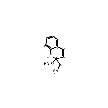 NCC1(S(=O)(=O)O)C=Cc2ccccc2O1